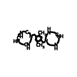 Cc1cc(CN2CCCNCCNCCCNCC2)c(C)cc1CN1CCCNCCNCCCNCC1